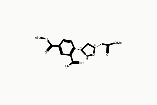 CCCCOC(=O)c1ccc([C@@H]2C[C@H](CC(=O)OC)ON2)c(C(=N)N)c1